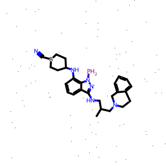 CC(CNc1nn(P)c2c(NC3CCB(C#N)CC3)cccc12)CN1CCc2ccccc2C1